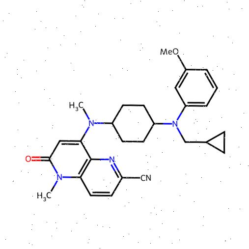 COc1cccc(N(CC2CC2)C2CCC(N(C)c3cc(=O)n(C)c4ccc(C#N)nc34)CC2)c1